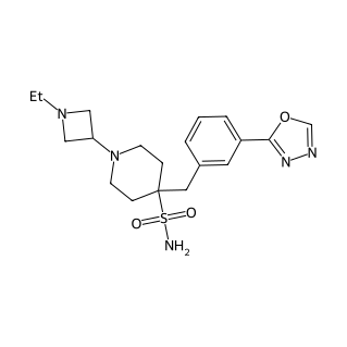 CCN1CC(N2CCC(Cc3cccc(-c4nnco4)c3)(S(N)(=O)=O)CC2)C1